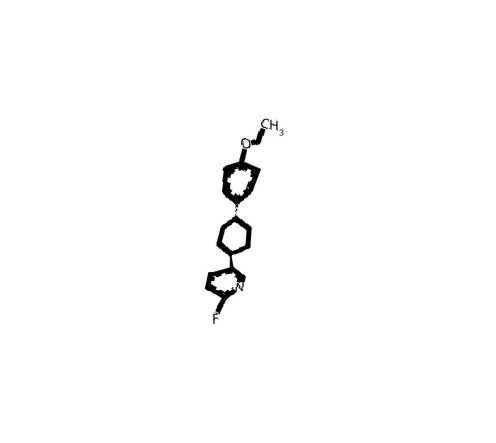 CCOc1ccc([C@H]2CC[C@H](c3ccc(F)nc3)CC2)cc1